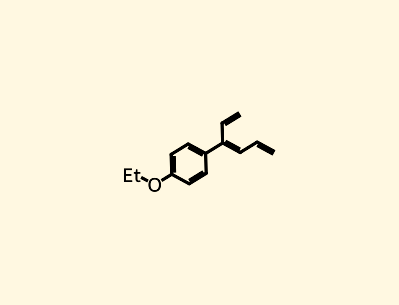 C=C/C=C(\C=C)c1ccc(OCC)cc1